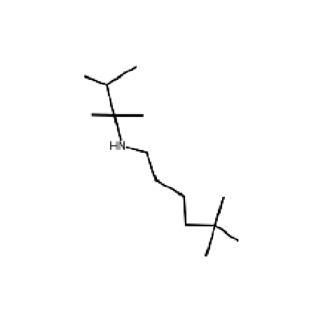 CC(C)C(C)(C)NCCCCC(C)(C)C